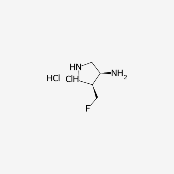 Cl.Cl.N[C@@H]1CNC[C@@H]1CF